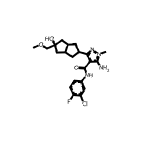 COCC1(O)CC2CC(c3nn(C)c(N)c3C(=O)Nc3ccc(F)c(Cl)c3)CC2C1